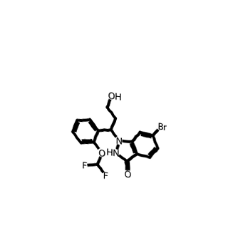 O=c1[nH]n(C(CCO)c2ccccc2OC(F)F)c2cc(Br)ccc12